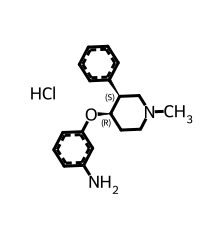 CN1CC[C@@H](Oc2cccc(N)c2)[C@@H](c2ccccc2)C1.Cl